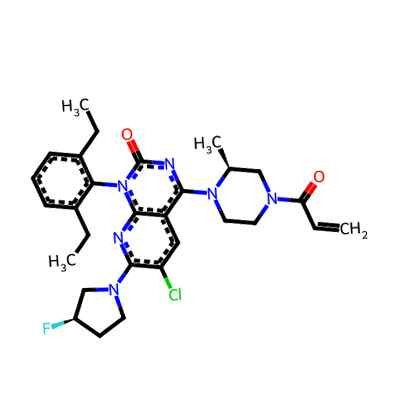 C=CC(=O)N1CCN(c2nc(=O)n(-c3c(CC)cccc3CC)c3nc(N4CC[C@@H](F)C4)c(Cl)cc23)[C@@H](C)C1